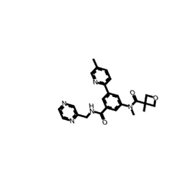 Cc1ccc(-c2cc(C(=O)NCc3cnccn3)cc(N(C)C(=O)C3(C)COC3)c2)nc1